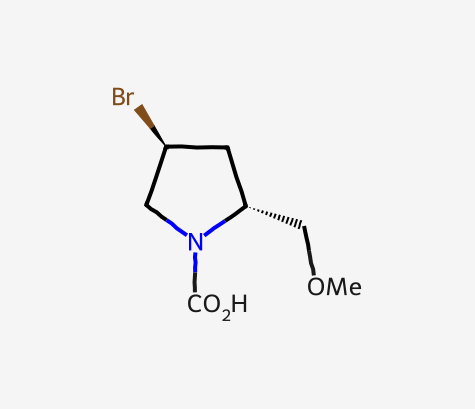 COC[C@H]1C[C@H](Br)CN1C(=O)O